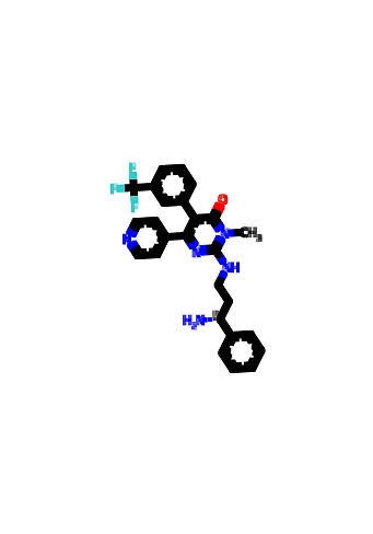 Cn1c(NCC[C@@H](N)c2ccccc2)nc(-c2ccncc2)c(-c2cccc(C(F)(F)F)c2)c1=O